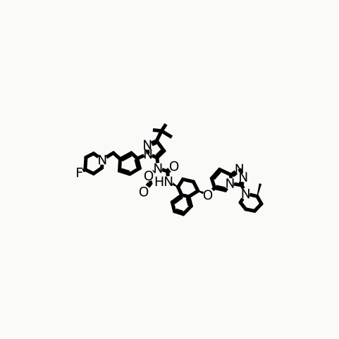 C[C@H]1CCCCN1c1nnc2ccc(O[C@@H]3CC[C@H](NC(=O)N(OC=O)c4cc(C(C)(C)C)nn4-c4cccc(CN5CCC(F)CC5)c4)c4ccccc43)cn12